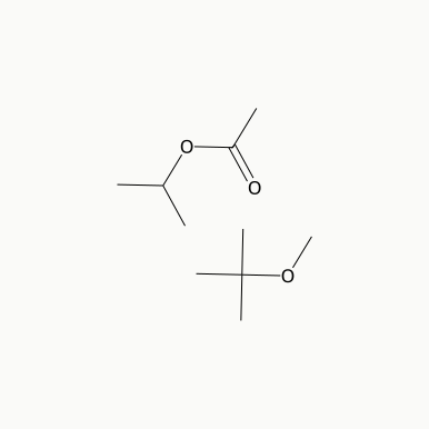 CC(=O)OC(C)C.COC(C)(C)C